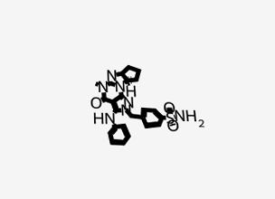 CN1C(=O)c2c(nn(Cc3ccc(S(N)(=O)=O)cc3)c2Nc2ccccc2)N2C1=NC1CCC[C@@H]12